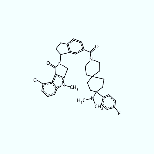 CN(C)C1(c2ccc(F)cc2)CCC2(CCN(C(=O)c3ccc4c(c3)C(N3Cc5c(c6c(Cl)cccc6n5C)C3=O)CC4)CC2)CC1